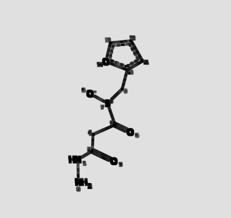 NNC(=O)[CH]C(=O)[S+]([O-])Cc1ccco1